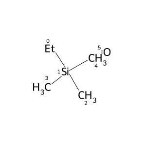 CC[Si](C)(C)C.[O]